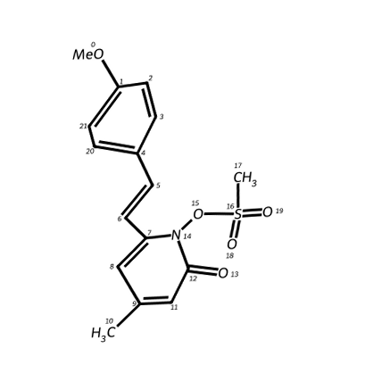 COc1ccc(C=Cc2cc(C)cc(=O)n2OS(C)(=O)=O)cc1